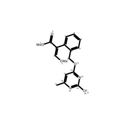 CO/C=C(/C(=O)OC)c1ccccc1COc1cc(C)nc(C(F)(F)F)n1